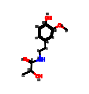 COc1cc(CCNC(=O)C(C)O)ccc1O